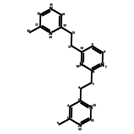 Cc1cc(CCc2nccc(CCc3cncc(C)n3)n2)ncn1